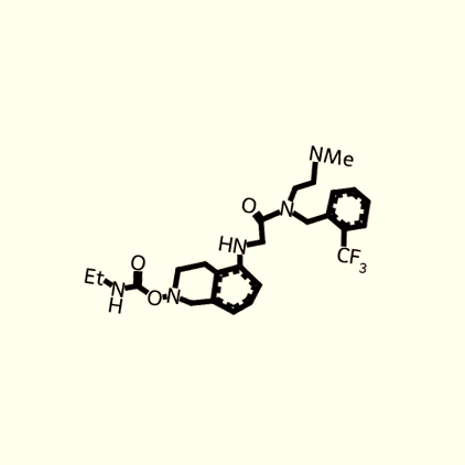 CCNC(=O)ON1CCc2c(cccc2NCC(=O)N(CCNC)Cc2ccccc2C(F)(F)F)C1